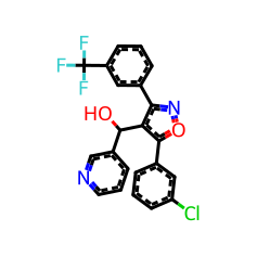 OC(c1cccnc1)c1c(-c2cccc(C(F)(F)F)c2)noc1-c1cccc(Cl)c1